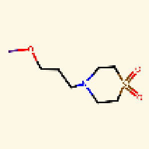 O=S1(=O)CCN(CCCOI)CC1